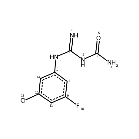 N=C(NC(N)=O)Nc1cc(F)cc(Cl)c1